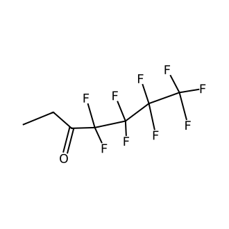 CCC(=O)C(F)(F)C(F)(F)C(F)(F)C(F)(F)F